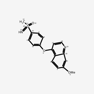 COc1ccc2c(Oc3ccc([S@](C)(=N)=O)cc3)ccnc2c1